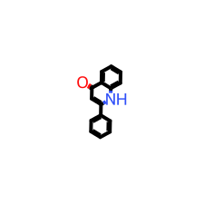 O=c1cc(-c2ccccc2)[nH]c2ccccc12